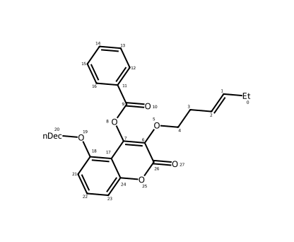 CCC=CCCOc1c(OC(=O)c2ccccc2)c2c(OCCCCCCCCCC)cccc2oc1=O